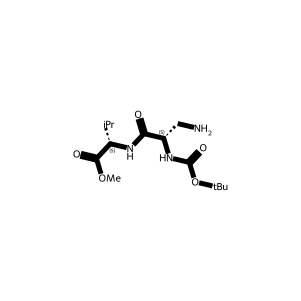 COC(=O)[C@@H](NC(=O)[C@H](CN)NC(=O)OC(C)(C)C)C(C)C